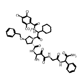 CCCC(NC(=O)[C@@H]1C[C@@H](OCc2ccccc2)CN1C(=O)C(NC(=O)c1cc(Cl)c(Cl)cc1C(=O)O)C1CCCCC1)C(=O)C(=O)NCC(=O)NC(C(N)=O)c1ccccc1